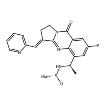 C[C@@H](N[S@+]([O-])C(C)(C)C)c1cc(F)cc2c(=O)n3c(nc12)C(=Cc1ccccn1)CC3